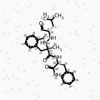 CC(C)C[C@@H](C=O)NN[C@@](C)(Cc1ccccc1F)C(=O)N[C@@H](Cc1ccccc1)C(N)=O